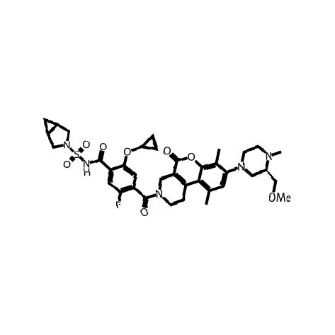 COC[C@H]1CN(c2cc(C)c3c4c(c(=O)oc3c2C)CN(C(=O)c2cc(OC3CC3)c(C(=O)NS(=O)(=O)N3CC5CC5C3)cc2F)CC4)CCN1C